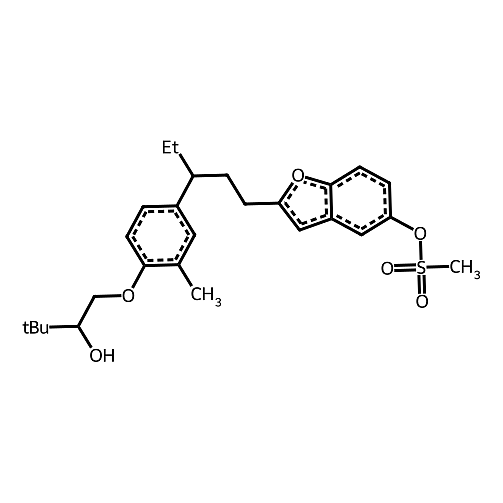 CCC(CCc1cc2cc(OS(C)(=O)=O)ccc2o1)c1ccc(OCC(O)C(C)(C)C)c(C)c1